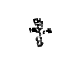 CCc1cccc2c(C(CCC#N)c3ccc4ccccc4c3)c[nH]c12